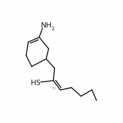 CCCC/C=C(/S)CC1CCC=C(N)C1